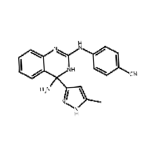 Cc1cc(C2(N)NC(Nc3ccc(C#N)cc3)=Nc3ccccc32)n[nH]1